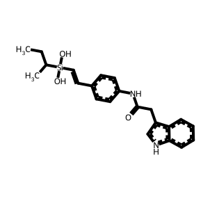 CCC(C)[Si](O)(O)C=Cc1ccc(NC(=O)Cc2c[nH]c3ccccc23)cc1